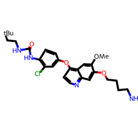 COc1cc2c(Oc3ccc(NC(=O)NCCC(C)(C)C)c(Cl)c3)ccnc2cc1OCCCCN